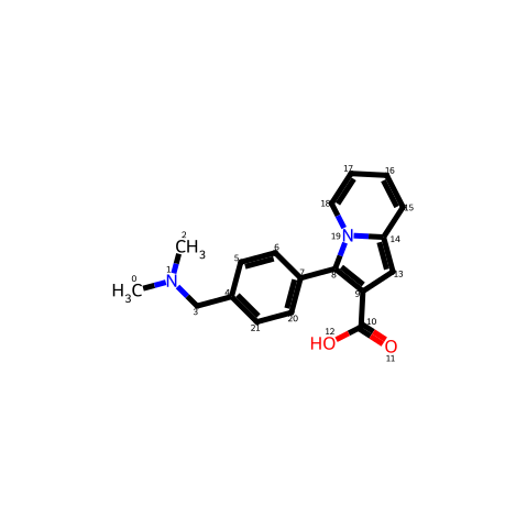 CN(C)Cc1ccc(-c2c(C(=O)O)cc3ccccn23)cc1